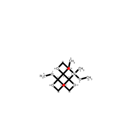 COC1(C2(C3([Si](C)(OC)OC)CCO3)CCO2)CCO1